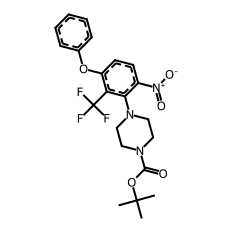 CC(C)(C)OC(=O)N1CCN(c2c([N+](=O)[O-])ccc(Oc3ccccc3)c2C(F)(F)F)CC1